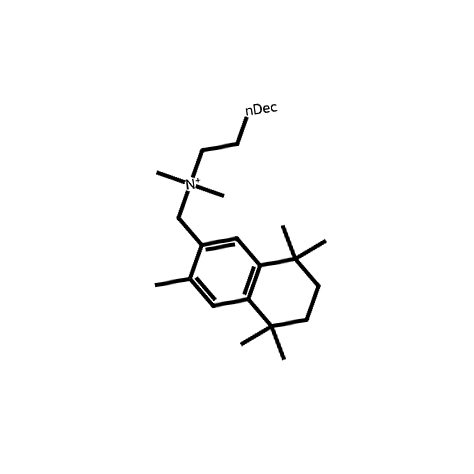 CCCCCCCCCCCC[N+](C)(C)Cc1cc2c(cc1C)C(C)(C)CCC2(C)C